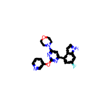 Fc1cc(-c2cc(N3CCOCC3)nc(Oc3cccnc3)n2)c2cc[nH]c2c1